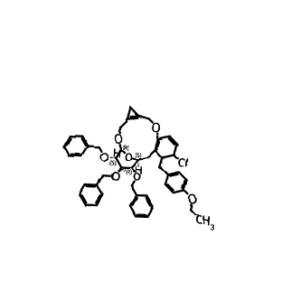 CCOc1ccc(CC2C3=C(C=CC2Cl)OCC2=C(CO[C@@H]4O[C@@H](C3)[C@@H](OCc3ccccc3)[C@@H](OCc3ccccc3)[C@@H]4OCc3ccccc3)C2)cc1